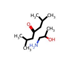 CC(C)CC(=O)CC(C)C.CC(O)CN